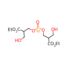 CCOC(=O)C(CO)CO[PH](=O)OCC(CO)C(=O)OCC